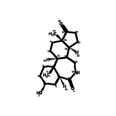 C[C@]12CC[C@H](O)C[C@@H]1C(=O)NCC1[C@@H]2CC[C@]2(C)C(=O)CC[C@@H]12